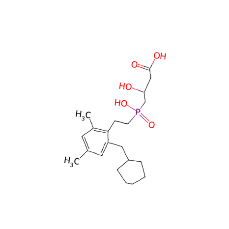 Cc1cc(C)c(CCP(=O)(O)CC(O)CC(=O)O)c(CC2CCCCC2)c1